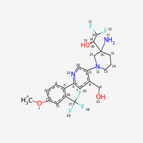 COc1ccc(-c2cc(CO)c(N3CCCC(N)([C@@H](O)C(F)F)C3)cn2)c(C(F)(F)F)c1